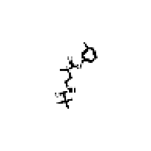 Cc1cccc(OC(=O)[C@H](C)CCNC(=O)C(C)(C)C)c1